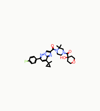 CC1(c2cc(-c3ccc(F)cc3)nn3cc(C(=O)N4CCN(C(=O)C5(O)CCOCC5)CC4(C)C)nc23)CC1